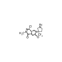 CC(=O)N1CCC(n2cc3c(Cl)nn(C)c(=O)c3cc2=O)(C(F)(F)F)C1